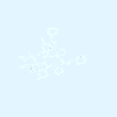 C[C@@H]1O[C@H](N2c3cc(F)ccc3C(C[C@@H]3CCCN3C(=O)OCc3ccccc3)C2c2[nH]c3cc(F)ccc3c2C[C@@H]2CCCN2C(=O)OCc2ccccc2)[C@@H](O)[C@H](O)[C@@H]1O